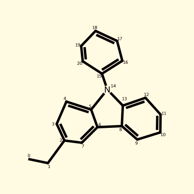 CCc1ccc2c(c1)c1ccccc1n2-c1ccccc1